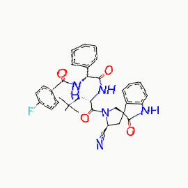 CC(C)(C)C[C@H](NC(=O)[C@@H](NC(=O)c1ccc(F)cc1)c1ccccc1)C(=O)N1C[C@]2(C[C@H]1C#N)C(=O)Nc1ccccc12